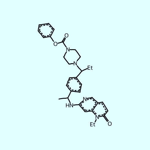 CCC(c1ccc(C(C)Nc2cc3c(ccc(=O)n3CC)cn2)cc1)N1CCN(C(=O)Oc2ccccc2)CC1